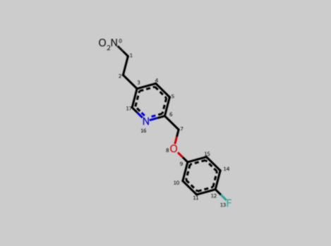 O=[N+]([O-])CCc1ccc(COc2ccc(F)cc2)nc1